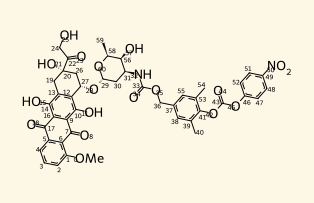 COc1cccc2c1C(=O)c1c(O)c3c(c(O)c1C2=O)C[C@@](O)(C(=O)CO)C[C@@H]3O[C@H]1C[C@H](NC(=O)OCc2cc(C)c(OC(=O)Oc3ccc([N+](=O)[O-])cc3)c(C)c2)[C@H](O)[C@H](C)O1